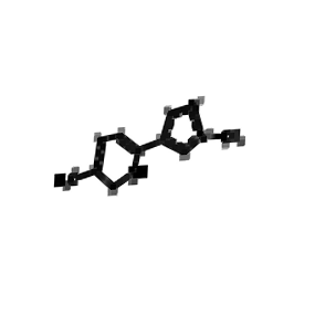 CC1=CC=C(c2cnn(C)c2)NC1